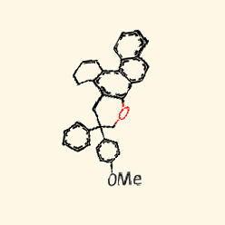 COc1ccc(C2(c3ccccc3)COc3c(c4c(c5c3ccc3ccccc35)C=CCC4)C2)cc1